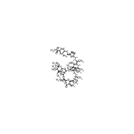 CC[C@H]1OC(=O)[C@H](C)[C@@H](O[C@H]2C[C@@](C)(OC)[C@@H](O)[C@H](C)O2)[C@H](C)[C@@H](O[C@@H]2O[C@H](C)C[C@H](N(C)CCc3cn([C@H](CF)Cc4ccc(S(C)(=O)=O)cc4)nn3)[C@H]2O)[C@](C)(OC)CC[C@@H](C)C(=O)[C@H](C)[C@@H]2C[C@]1(C)OC(=O)N2N